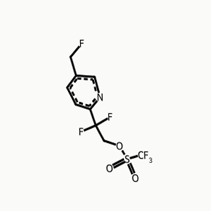 O=S(=O)(OCC(F)(F)c1ccc(CF)cn1)C(F)(F)F